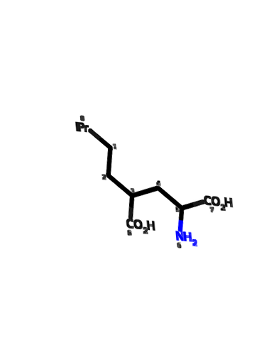 CC(C)CCC(CC(N)C(=O)O)C(=O)O